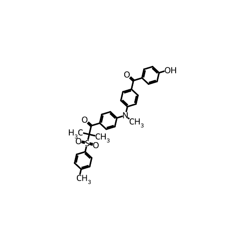 Cc1ccc(S(=O)(=O)C(C)(C)C(=O)c2ccc(N(C)c3ccc(C(=O)c4ccc(O)cc4)cc3)cc2)cc1